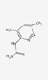 Cc1cnc(NC(N)=S)c(C)c1